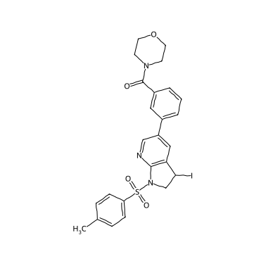 Cc1ccc(S(=O)(=O)N2CC(I)c3cc(-c4cccc(C(=O)N5CCOCC5)c4)cnc32)cc1